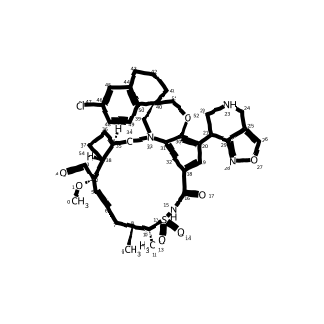 CO[C@@]1(C=O)/C=C/C[C@H](C)[C@@H](C)S(=O)(=O)NC(=O)c2cc(C3CNCc4conc43)c3c(c2)N(C[C@@H]2CC[C@H]21)C[C@@]1(CCCc2cc(Cl)ccc21)CO3